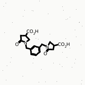 O=C(O)C1CC(=O)N(Cc2cccc(CN3CC(C(=O)O)CC3=O)c2)C1